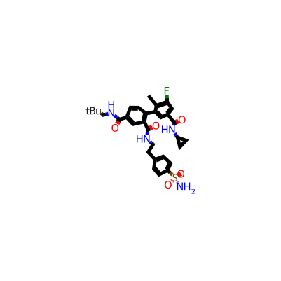 Cc1c(F)cc(C(=O)NC2CC2)cc1-c1ccc(C(=O)NCC(C)(C)C)cc1C(=O)NCCc1ccc(S(N)(=O)=O)cc1